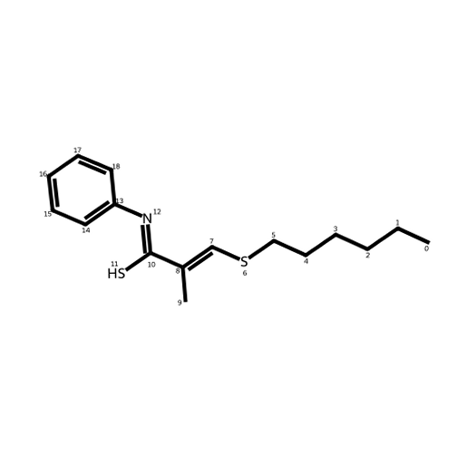 CCCCCCSC=C(C)C(S)=Nc1ccccc1